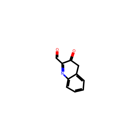 O=CC1=Nc2ccccc2CC1=O